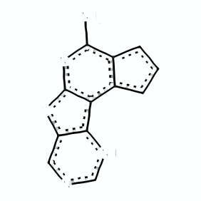 Nc1nc2sc3cnc[nH]c3c2c2cccc12